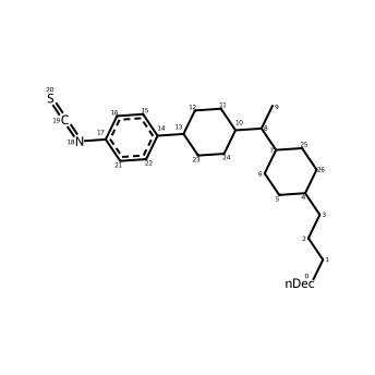 CCCCCCCCCCCCCC1CCC(C(C)C2CCC(c3ccc(N=C=S)cc3)CC2)CC1